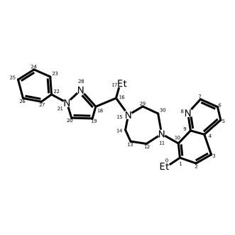 CCc1ccc2cccnc2c1N1CCCN(C(CC)c2ccn(-c3ccccc3)n2)CC1